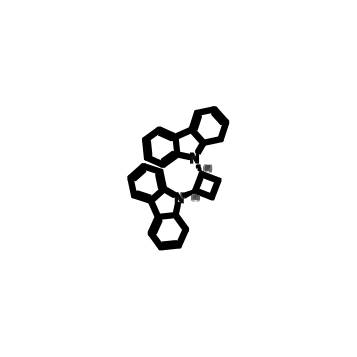 C1=CCC2C(=C1)c1ccccc1N2[C@@H]1CC[C@H]1N1c2ccccc2C2=CC=CCC21